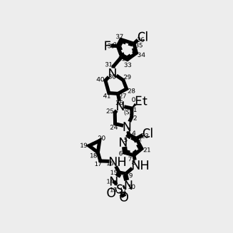 CC[C@H]1CN(c2ncc(NC3=NS(=O)(=O)N=C3NCC3CC3)cc2Cl)CCN1C1CCN(Cc2ccc(Cl)cc2F)CC1